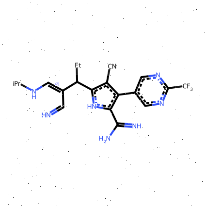 CCC(/C(C=N)=C/NC(C)C)c1[nH]c(C(=N)N)c(-c2cnc(C(F)(F)F)nc2)c1C#N